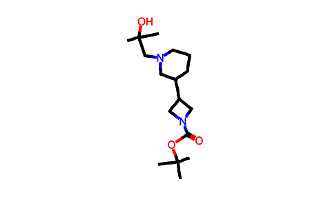 CC(C)(O)CN1CCCC(C2CN(C(=O)OC(C)(C)C)C2)C1